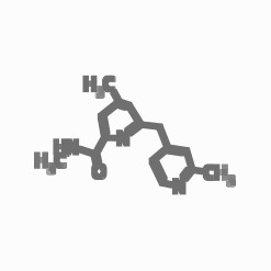 CNC(=O)c1cc(C)cc(Cc2ccnc(C)c2)n1